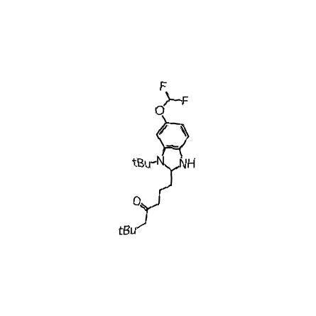 CC(C)(C)CC(=O)CCCC1Nc2ccc(OC(F)F)cc2N1C(C)(C)C